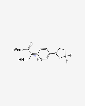 CCCCCC(=O)/C(C=N)=C1\C=CC(N2CCC(F)(F)C2)=CN1